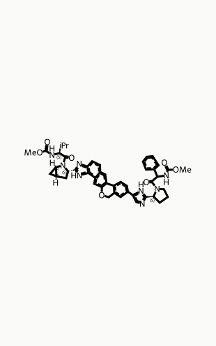 COC(=O)NC(C(=O)N1CCC[C@H]1c1ncc(-c2ccc3c(c2)COc2cc4c(ccc5nc([C@@H]6C[C@H]7C[C@H]7N6C(=O)[C@@H](NC(=O)OC)C(C)C)[nH]c54)cc2-3)[nH]1)c1ccccc1